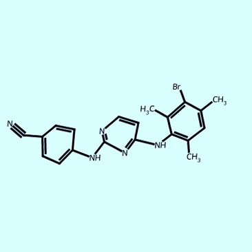 Cc1cc(C)c(Nc2ccnc(Nc3ccc(C#N)cc3)n2)c(C)c1Br